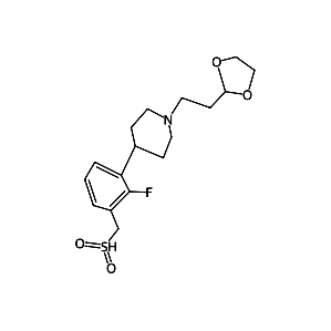 O=[SH](=O)Cc1cccc(C2CCN(CCC3OCCO3)CC2)c1F